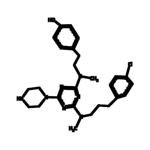 CN(CCCc1ccc(Cl)cc1)c1nc(N(C)CCc2ccc(O)cc2)nc(N2CCNCC2)n1